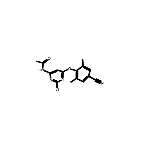 CC(=O)Nc1cc(Oc2c(C)cc(C#N)cc2C)nc(Cl)n1